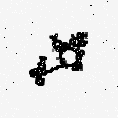 CC[C@H]1OC(=O)[C@H](C)C([C@H]2C[C@@](C)(OC)[C@@H](O)[C@H](C)O2)[C@H](C)[C@@H](O[C@H]2C[C@@H](N(C)C)C[C@@H](C)O2)[C@](C)(O)C[C@@H](C)CN(CCCCCCC[PH](c2ccccc2)(c2ccccc2)c2ccc(N(C)C)cc2)[C@H](C)C[C@]1(C)O